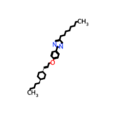 CCCCCCCCc1cnc(-c2ccc(OC/C=C/[C@H]3CC[C@H](CCCCC)CC3)cc2)nc1